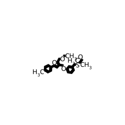 CCOCc1oc(-c2ccc(C)cc2)cc1COc1cccc(CSC(C)(C)C=O)c1